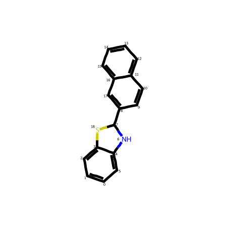 c1ccc2c(c1)NC(c1ccc3ccccc3c1)S2